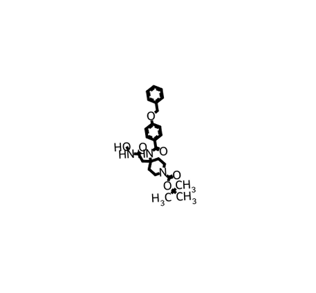 CC(C)(C)OC(=O)N1CCC(CC(=O)NO)(NC(=O)c2ccc(OCc3ccccc3)cc2)CC1